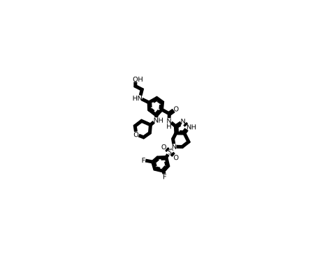 O=C(Nc1n[nH]c2c1CN(S(=O)(=O)c1cc(F)cc(F)c1)CC2)c1ccc(NCCO)cc1NC1CCOCC1